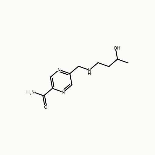 CC(O)CCNCc1cnc(C(N)=O)cn1